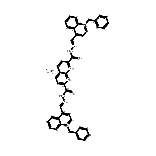 O=C(NN=Cc1cc[n+](Cc2ccccc2)c2ccccc12)c1ccc2ccc(C(=O)NN=Cc3cc[n+](Cc4ccccc4)c4ccccc34)nc2n1.[Br-].[Br-]